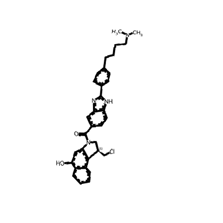 CN(C)CCCCc1ccc(-c2nc3cc(C(=O)N4C[C@@H](CCl)c5c4cc(O)c4ccccc54)ccc3[nH]2)cc1